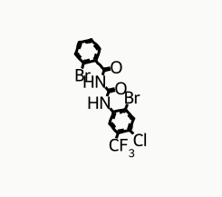 O=C(NC(=O)c1ccccc1Br)Nc1cc(C(F)(F)F)c(Cl)cc1Br